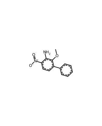 COc1c(-c2ccccc2)ccc([N+](=O)[O-])c1N